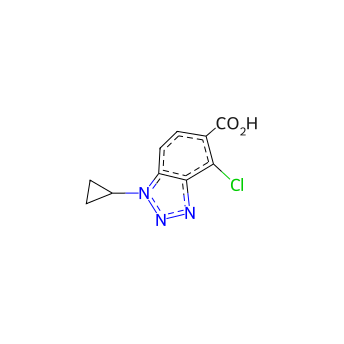 O=C(O)c1ccc2c(nnn2C2CC2)c1Cl